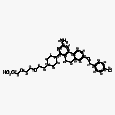 Nc1nc2c(c(N3CCN(CCOCCOCC(=O)O)CC3)n1)CCc1cc(OCc3ccc(Cl)cc3)ccc1-2